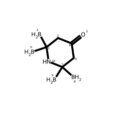 BC1(B)CC(=O)CC(B)(B)N1